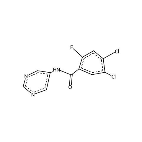 O=C(Nc1cncnc1)c1cc(Cl)c(Cl)cc1F